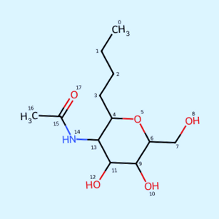 CCCCC1OC(CO)C(O)C(O)C1NC(C)=O